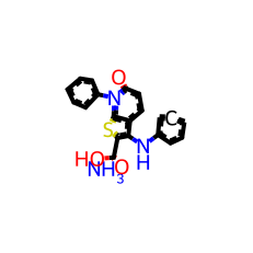 N.O=C(O)c1sc2c(ccc(=O)n2-c2ccccc2)c1Nc1ccccc1